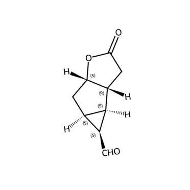 O=C[C@H]1[C@H]2C[C@@H]3OC(=O)C[C@@H]3[C@@H]12